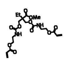 C=CC(=O)OCCNC(=O)OCC(CC)(COC(=O)NCCOC(=O)C=C)C(=O)OC